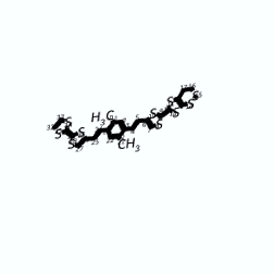 Cc1cc(/C=C/C2=CS/C(=C3/SC4=C(SSCC4)S3)S2)c(C)cc1/C=C/C1=CSC(=C2SC=CS2)S1